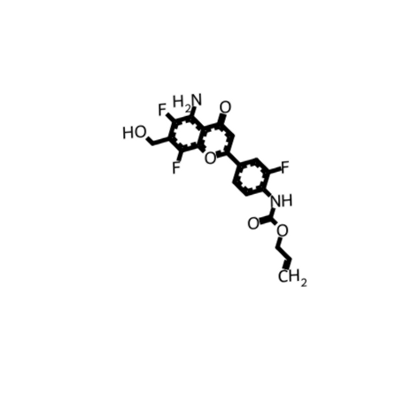 C=CCOC(=O)Nc1ccc(-c2cc(=O)c3c(N)c(F)c(CO)c(F)c3o2)cc1F